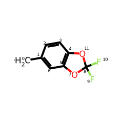 [CH2]c1ccc2c(c1)OC(F)(F)O2